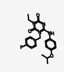 CCn1c(=O)nc(Nc2ccc(OC(C)C)cc2)n(Cc2ccc(F)cc2)c1=O